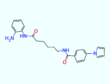 Nc1ccccc1NC(=O)CCCCCNC(=O)c1ccc(-n2cccc2)cc1